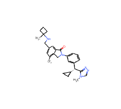 Cn1cnnc1[C@@H](c1cccc(N2Cc3c(cc(CNC4(C)CCC4)cc3C(F)(F)F)C2=O)c1)C1CC1